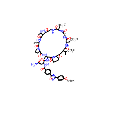 CCCCCCOc1ccc(-c2noc(-c3ccc(C(=O)NC(CC(N)=O)C(=O)NC4C(=O)N5CCCCC5C(=O)CC(C(C)C(=O)O)C(=O)NC(CC(=O)O)C(=O)NCC(=O)NC(CC(=O)O)C(=O)NCC(=O)CC(C(C)N)C(=O)NC(C(C)C)C(=O)N5CCCC5C(=O)NC4C)cc3)n2)cc1